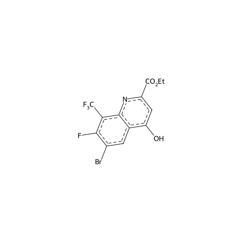 CCOC(=O)c1cc(O)c2cc(Br)c(F)c(C(F)(F)F)c2n1